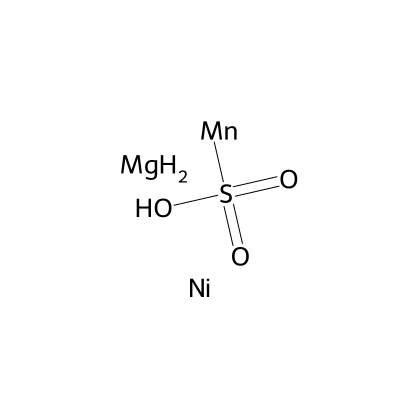 O=[S](=O)(O)[Mn].[MgH2].[Ni]